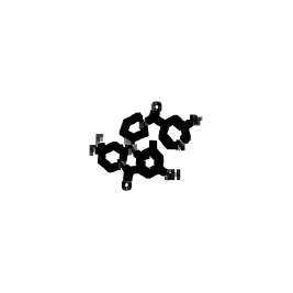 Cc1cc(S)cc(C(=O)N2CCC(F)(F)CC2)c1N[C@@H]1CCCN(C(=O)C2C=CN=CC(Br)=C2)C1